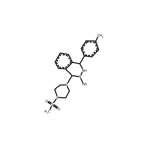 CCCN1NC(c2ccc(C)cc2)c2ccccc2C1N1CCN(S(C)(=O)=O)CC1